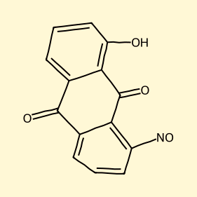 O=Nc1cccc2c1C(=O)c1c(O)cccc1C2=O